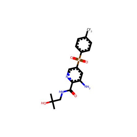 CC(C)(O)CNC(=O)c1ncc(S(=O)(=O)c2ccc(C(F)(F)F)cc2)cc1N